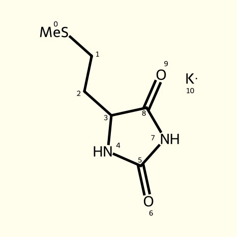 CSCCC1NC(=O)NC1=O.[K]